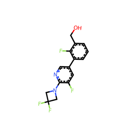 OCc1cccc(-c2cnc(N3CC(F)(F)C3)c(F)c2)c1F